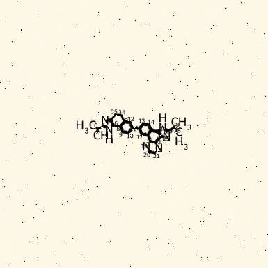 CC(C)c1nc2c([nH]1)-c1ccc(-c3ccc4c(c3)c3nccnc3c3nc(C(C)C)[nH]c43)cc1CC2